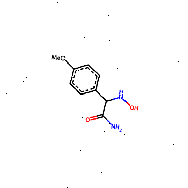 COc1ccc(C(NO)C(N)=O)cc1